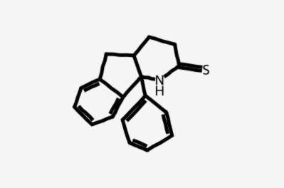 S=C1CCC2Cc3ccccc3C2(c2ccccc2)N1